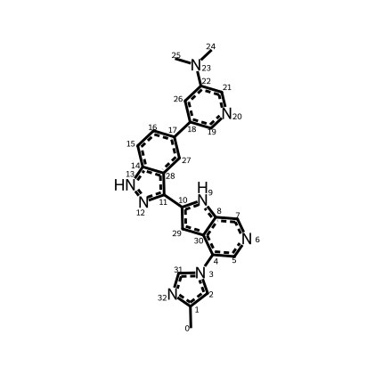 Cc1cn(-c2cncc3[nH]c(-c4n[nH]c5ccc(-c6cncc(N(C)C)c6)cc45)cc23)cn1